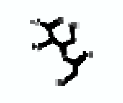 N=C(CO)N=C(CO)C(N)C(N)=O